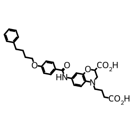 O=C(O)CCCN1CC(C(=O)O)Oc2cc(NC(=O)c3ccc(OCCCCc4ccccc4)cc3)ccc21